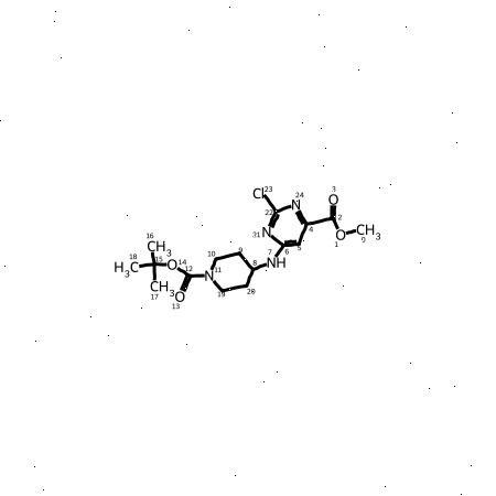 COC(=O)c1cc(NC2CCN(C(=O)OC(C)(C)C)CC2)nc(Cl)n1